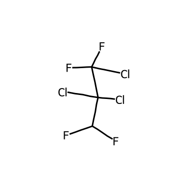 FC(F)C(Cl)(Cl)C(F)(F)Cl